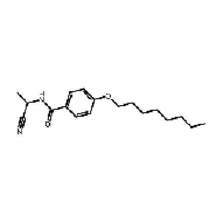 CCCCCCCCOc1ccc(C(=O)NC(C)C#N)cc1